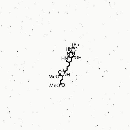 COC(=O)CC[C@H](NC(=O)CCCC1CNc2nc(NC(=O)C(C)(C)C)nc(O)c2C1)C(=O)OC